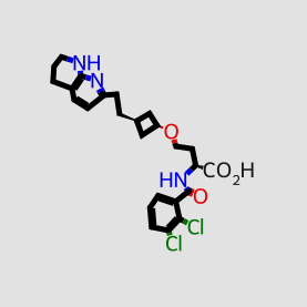 O=C(N[C@@H](CCO[C@H]1C[C@H](CCc2ccc3c(n2)NCCC3)C1)C(=O)O)c1cccc(Cl)c1Cl